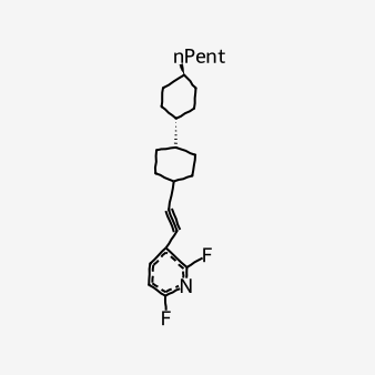 CCCCC[C@H]1CC[C@H](C2CCC(C#Cc3ccc(F)nc3F)CC2)CC1